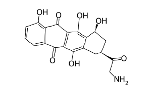 NCC(=O)[C@H]1Cc2c(O)c3c(c(O)c2[C@@H](O)C1)C(=O)c1c(O)cccc1C3=O